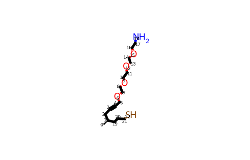 C[C@@H](CC#CCOCCOCCOCCOCCN)CCCS